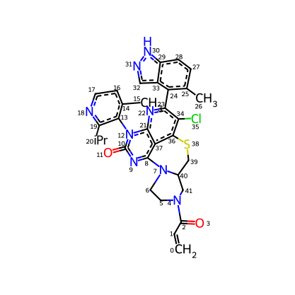 C=CC(=O)N1CCN2c3nc(=O)n(-c4c(C)ccnc4C(C)C)c4nc(-c5c(C)ccc6[nH]ncc56)c(Cl)c(c34)SCC2C1